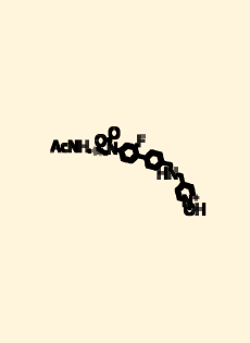 CC(=O)NC[C@H]1CN(c2ccc(-c3ccc(CNCc4cc[n+](O)cc4)cc3)c(F)c2)C(=O)O1